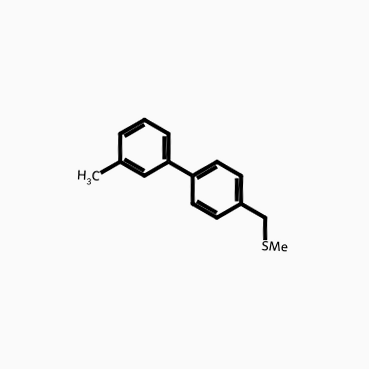 CSCc1ccc(-c2cccc(C)c2)cc1